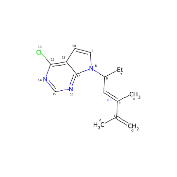 C=C(C)/C(C)=C/C(CC)n1ccc2c(Cl)ncnc21